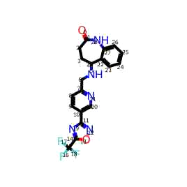 O=C1CCC(NCc2ccc(-c3noc(C(F)(F)F)n3)cn2)c2ccccc2N1